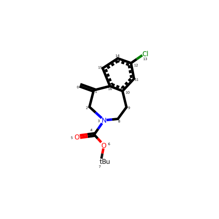 C=C1CN(C(=O)OC(C)(C)C)CCc2cc(Cl)ccc21